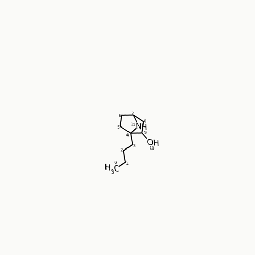 CCCCC12CCC(CC1O)N2